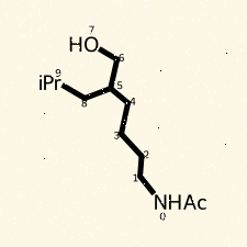 CC(=O)NCCCCC(CO)CC(C)C